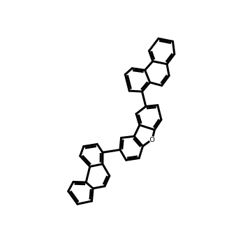 c1ccc2c(c1)ccc1c(-c3ccc4oc5ccc(-c6cccc7c6ccc6ccccc67)cc5c4c3)cccc12